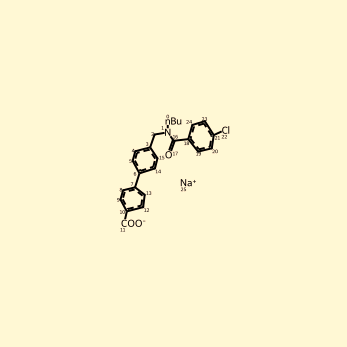 CCCCN(Cc1ccc(-c2ccc(C(=O)[O-])cc2)cc1)C(=O)c1ccc(Cl)cc1.[Na+]